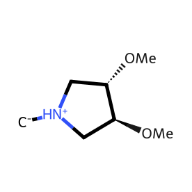 [CH2-][NH+]1C[C@H](OC)[C@@H](OC)C1